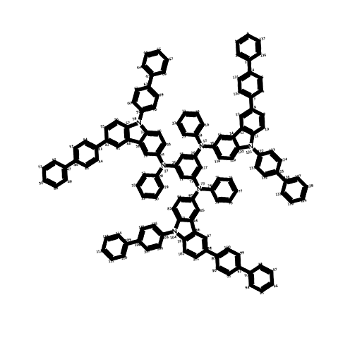 c1ccc(-c2ccc(-c3ccc4c(c3)c3cc(N(c5ccccc5)c5cc(N(c6ccccc6)c6ccc7c(c6)c6cc(-c8ccc(-c9ccccc9)cc8)ccc6n7-c6ccc(-c7ccccc7)cc6)cc(N(c6ccccc6)c6ccc7c(c6)c6cc(-c8ccc(-c9ccccc9)cc8)ccc6n7-c6ccc(-c7ccccc7)cc6)c5)ccc3n4-c3ccc(-c4ccccc4)cc3)cc2)cc1